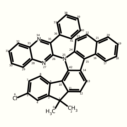 CC1(C)c2cc(Cl)ccc2-c2c1ccc1c3c4ccccc4ccc3n(-c3nc4ccccc4nc3-c3ccccc3)c21